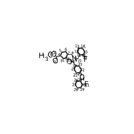 COC(=O)c1ccc(CN(Cc2ccccc2F)C(=O)c2ccc(Oc3ccccc3F)cc2)cc1